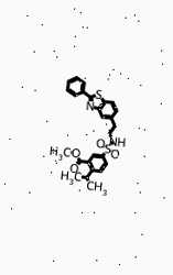 COC(=O)c1cc(S(=O)(=O)NCCc2ccc3sc(-c4ccccc4)nc3c2)ccc1C(C)C